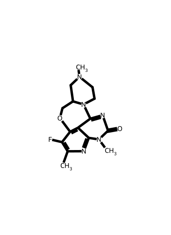 Cc1nc2c3c(nc(=O)n2C)N2CCN(C)CC2COc3c1F